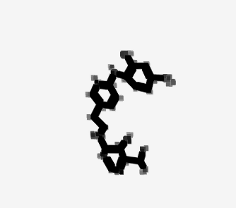 FC(F)c1ncnc(NCCc2ccc(Oc3ccc(C(F)(F)F)cc3Cl)nc2)c1Cl